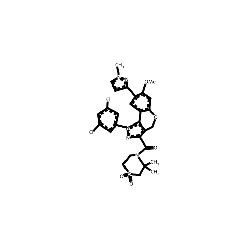 COc1cc2c(cc1-c1ccn(C)n1)-c1c(c(C(=O)N3CCS(=O)(=O)CC3(C)C)nn1-c1cc(Cl)cc(Cl)c1)CO2